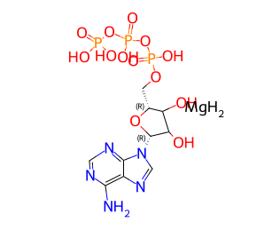 Nc1ncnc2c1ncn2[C@@H]1O[C@H](COP(=O)(O)OP(=O)(O)OP(=O)(O)O)C(O)C1O.[MgH2]